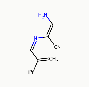 C=C(/C=N\C(C#N)=C/N)C(C)C